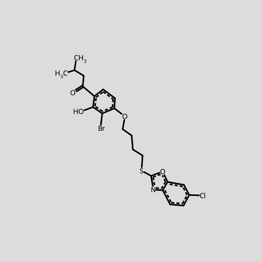 CC(C)CC(=O)c1ccc(OCCCCSc2nc3ccc(Cl)cc3o2)c(Br)c1O